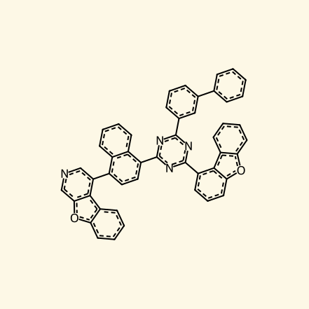 c1ccc(-c2cccc(-c3nc(-c4ccc(-c5cncc6oc7ccccc7c56)c5ccccc45)nc(-c4cccc5oc6ccccc6c45)n3)c2)cc1